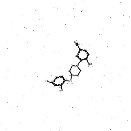 N#Cc1ccc(N)c(N2CCC(Oc3ccc(F)cc3F)CC2)c1